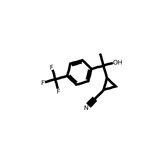 CC(O)(c1ccc(C(F)(F)F)cc1)C1CC1C#N